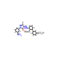 COc1c(N/N=C2\C(=O)N(c3cccc(N)c3)N=C2C)cccc1-c1cccc(C(=O)O)c1